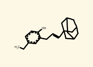 CCc1ccc(O)c(CC=CC23CC4CC(CC(C4)C2)C3)c1